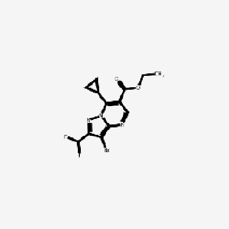 CCOC(=O)c1cnc2c(Br)c(C(F)F)nn2c1C1CC1